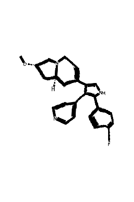 CO[C@H]1C[C@@H]2CC(c3c[nH]c(-c4ccc(F)cc4)c3-c3ccncc3)=CCN2C1